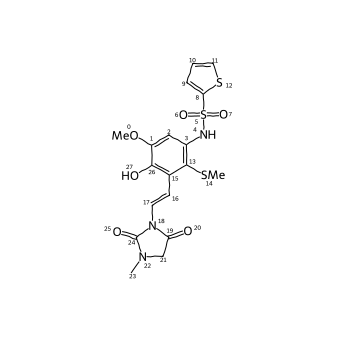 COc1cc(NS(=O)(=O)c2cccs2)c(SC)c(/C=C/N2C(=O)CN(C)C2=O)c1O